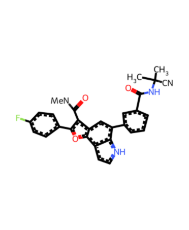 CNC(=O)c1c(-c2ccc(F)cc2)oc2c1cc(-c1cccc(C(=O)NC(C)(C)C#N)c1)c1[nH]ccc12